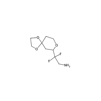 NCC(F)(F)C1CC2(CCO1)OCCO2